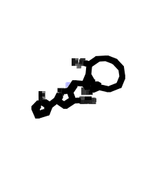 COC1=CC(c2ccc[nH]2)=N/C1=C/c1[nH]c2cc1C(C)CCCCCCC2